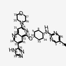 N#Cc1cnc(N[C@H]2CC[C@@H](Oc3nc(N4CCOCC4)cc4ncc(-c5nnc[nH]5)cc34)CC2)nc1